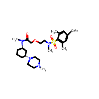 COc1cc(C)c(S(=O)(=O)N(C)CCOCC(=O)N(C)[C@@H]2CCC[C@@H](N3CCN(C)CC3)C2)c(C)c1